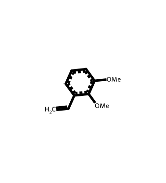 C=Cc1[c]ccc(OC)c1OC